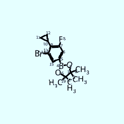 CC1(C)OB(c2cc(F)c(C3CC3)c(Br)c2)OC1(C)C